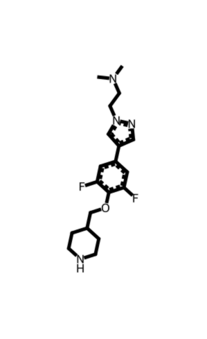 CN(C)CCn1cc(-c2cc(F)c(OCC3CCNCC3)c(F)c2)cn1